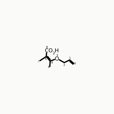 C=CCOC(C)=C(C)C(=O)O